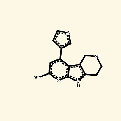 CCCc1cc(-c2ccsc2)c2c3c([nH]c2n1)CCNC3